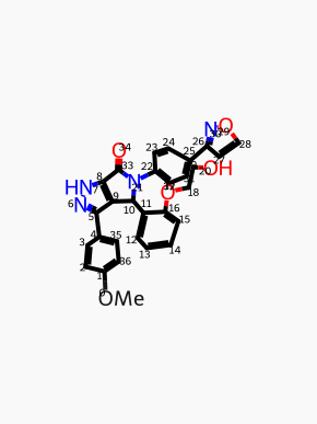 COc1ccc(-c2n[nH]c3c2C(c2ccccc2OCCO)N(c2ccc(-c4ccon4)cc2)C3=O)cc1